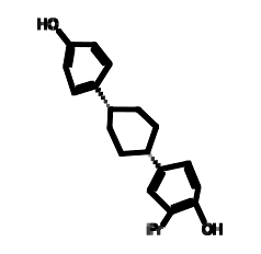 CC(C)c1cc([C@H]2CC[C@@H](c3ccc(O)cc3)CC2)ccc1O